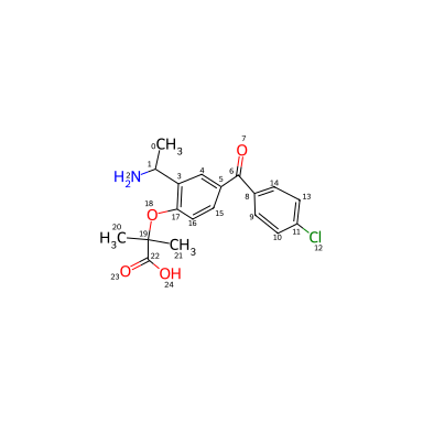 CC(N)c1cc(C(=O)c2ccc(Cl)cc2)ccc1OC(C)(C)C(=O)O